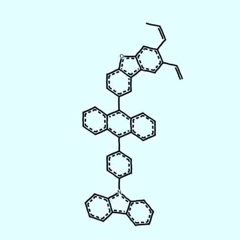 C=Cc1cc2c(cc1/C=C\C)oc1ccc(-c3c4ccccc4c(-c4ccc(-n5c6ccccc6c6ccccc65)cc4)c4ccccc34)cc12